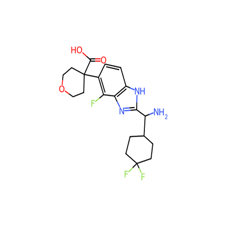 NC(c1nc2c(F)c(C3(C(=O)O)CCOCC3)ccc2[nH]1)C1CCC(F)(F)CC1